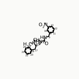 CN(C)[C@H](CNC(=O)NCc1cccc([N+](=O)[O-])c1)Cc1ccccc1